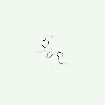 C=C(Cc1sccc1-c1cnc(C(CCCC)c2ccc(C(=O)O)cc2)[nH]1)C(=O)O